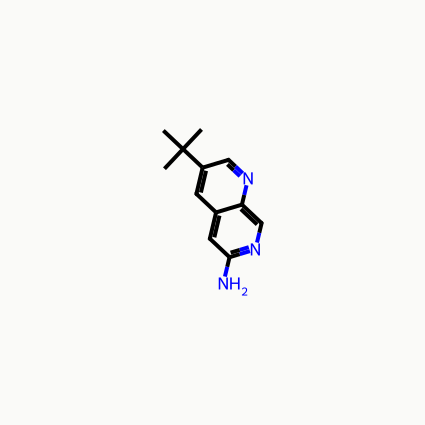 CC(C)(C)c1cnc2cnc(N)cc2c1